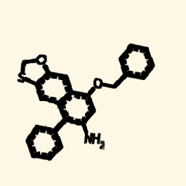 Nc1cc(OCc2ccccc2)c2cc3c(cc2c1-c1ccccc1)SCO3